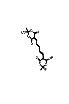 CCC1(C)OC(=O)C(=CC=CC=CC2C(=O)OC(C)(CC)OC2O)C(=O)O1